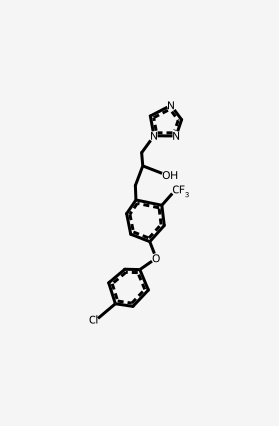 OC(Cc1ccc(Oc2ccc(Cl)cc2)cc1C(F)(F)F)Cn1cncn1